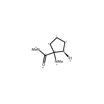 CC[C@@H]1CCCC1(NC)C(=O)NC